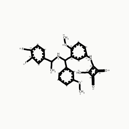 COc1cccc(C(NC(C)c2ccc(F)c(F)c2)c2cc(Nc3c(O)c(=O)c3=O)ccc2OC)c1